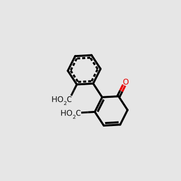 O=C(O)C1=C(c2ccccc2C(=O)O)C(=O)CC=C1